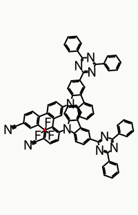 N#Cc1ccc(-n2c3ccccc3c3cc(-c4nc(-c5ccccc5)nc(-c5ccccc5)n4)ccc32)c(-c2cc(-n3c4ccccc4c4cc(-c5nc(-c6ccccc6)nc(-c6ccccc6)n5)ccc43)ccc2-c2ccc(C#N)cc2C(F)(F)F)c1